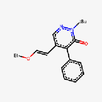 CCOC=Cc1cnn(C(C)(C)C)c(=O)c1-c1ccccc1